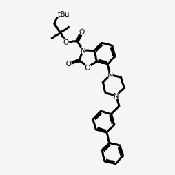 CC(C)(C)CC(C)(C)OC(=O)n1c(=O)oc2c(N3CCN(Cc4cccc(-c5ccccc5)c4)CC3)cccc21